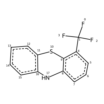 FC(F)(F)c1cccc2c1Sc1ccccc1N2